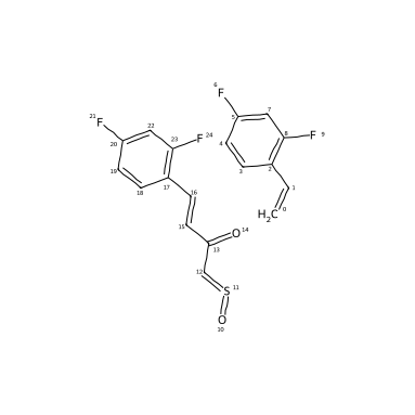 C=Cc1ccc(F)cc1F.O=S=CC(=O)C=Cc1ccc(F)cc1F